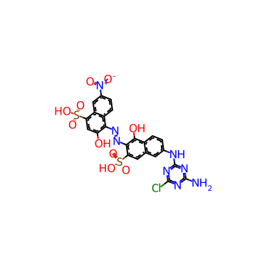 Nc1nc(Cl)nc(Nc2ccc3c(O)c(N=Nc4c(O)cc(S(=O)(=O)O)c5cc([N+](=O)[O-])ccc45)c(S(=O)(=O)O)cc3c2)n1